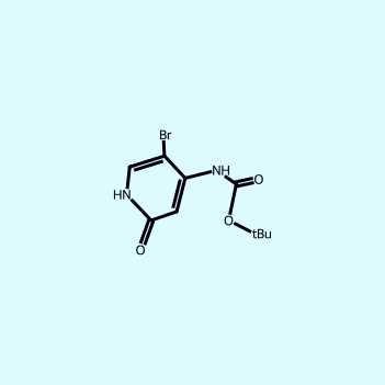 CC(C)(C)OC(=O)Nc1cc(=O)[nH]cc1Br